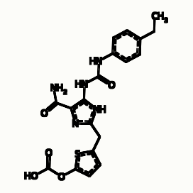 CCc1ccc(NC(=O)Nc2[nH]c(Cc3ccc(OC(=O)O)s3)nc2C(N)=O)cc1